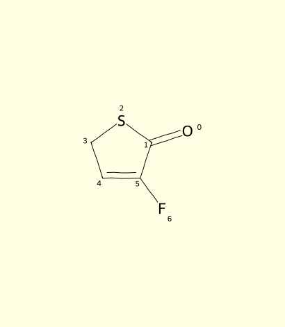 O=C1SCC=C1F